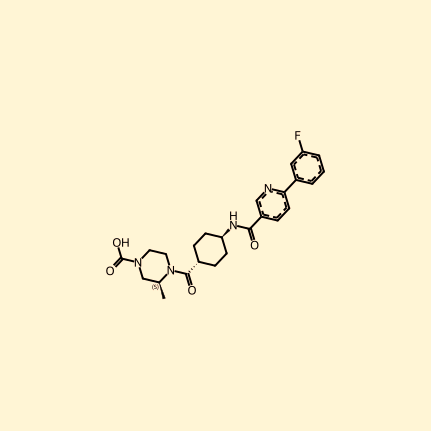 C[C@H]1CN(C(=O)O)CCN1C(=O)[C@H]1CC[C@H](NC(=O)c2ccc(-c3cccc(F)c3)nc2)CC1